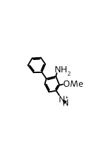 COc1c([N+]#N)ccc(-c2ccccc2)c1N